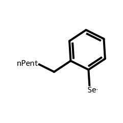 CCCCCCc1ccccc1[Se]